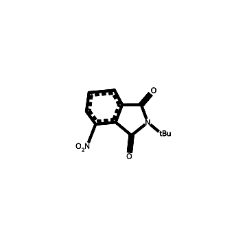 CC(C)(C)N1C(=O)c2cccc([N+](=O)[O-])c2C1=O